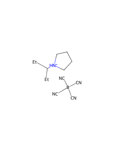 CCC(CC)[NH+]1CCCC1.N#C[B-](C#N)(C#N)C#N